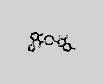 O=C(c1c(F)cccc1-n1nccn1)N1CCCN(c2nc3ccc(F)cc3c(=O)[nH]2)CC1